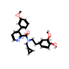 COc1cccc(-c2cccnc2C(=O)N(CCc2ccc(OC)c(OC)c2)CC2CC2)c1